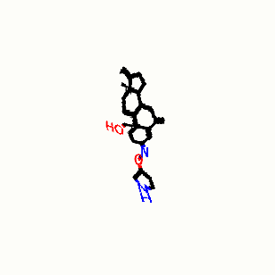 C=C1CC2C(CC[C@]3(C)C(=C)CCC23)[C@@]2(CO)CCC(=NOC3CCNC3)C=C12